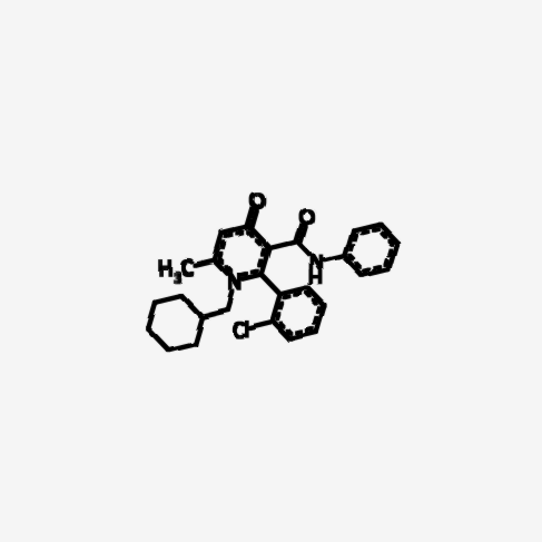 Cc1cc(=O)c(C(=O)Nc2ccccc2)c(-c2ccccc2Cl)n1CC1CCCCC1